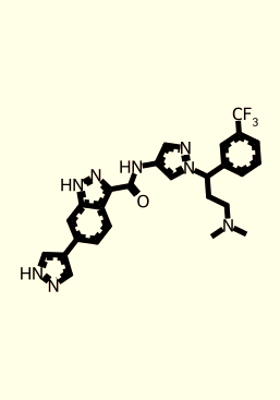 CN(C)CCC(c1cccc(C(F)(F)F)c1)n1cc(NC(=O)c2n[nH]c3cc(-c4cn[nH]c4)ccc23)cn1